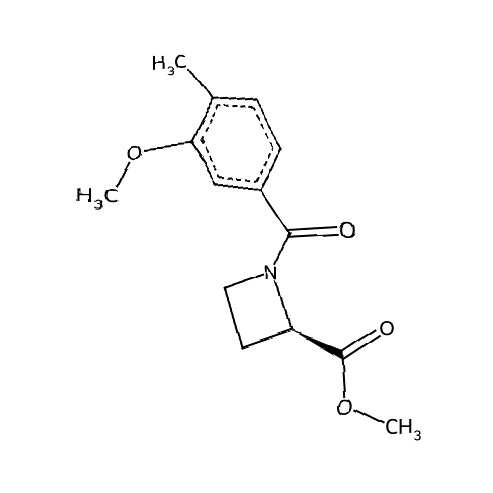 COC(=O)[C@H]1CCN1C(=O)c1ccc(C)c(OC)c1